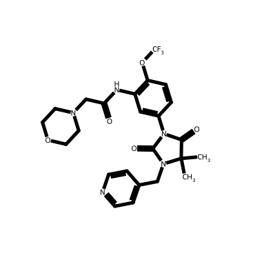 CC1(C)C(=O)N(c2ccc(OC(F)(F)F)c(NC(=O)CN3CCOCC3)c2)C(=O)N1Cc1ccncc1